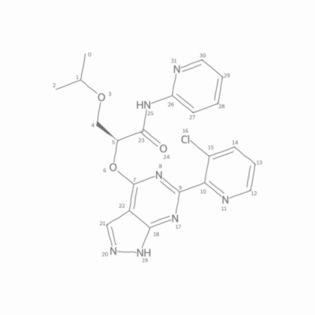 CC(C)OC[C@H](Oc1nc(-c2ncccc2Cl)nc2[nH]ncc12)C(=O)Nc1ccccn1